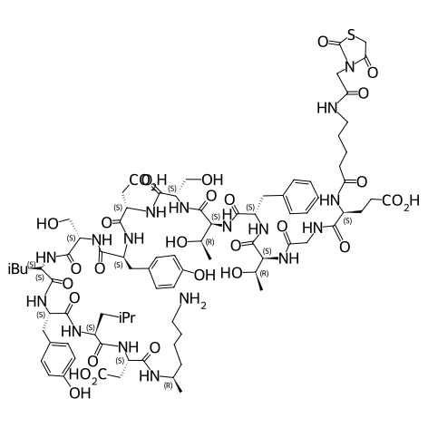 CC[C@H](C)[C@H](NC(=O)[C@H](CO)NC(=O)[C@H](Cc1ccc(O)cc1)NC(=O)[C@H](CC(=O)O)NC(=O)[C@H](CO)NC(=O)[C@@H](NC(=O)[C@H](Cc1ccccc1)NC(=O)[C@@H](NC(=O)CNC(=O)[C@H](CCC(=O)O)NC(=O)CCCCNC(=O)CN1C(=O)CSC1=O)[C@@H](C)O)[C@@H](C)O)C(=O)N[C@@H](Cc1ccc(O)cc1)C(=O)N[C@@H](CC(C)C)C(=O)N[C@@H](CC(=O)O)C(=O)N[C@H](C)CCCCN